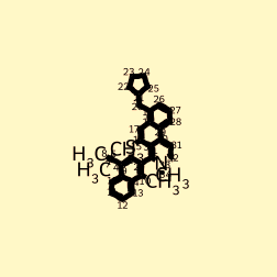 Cc1c2c(c(C(C)(C)C)c3ccccc13)Sc1cc3c(CC4CCCC4)cccc3c3cc[n+](C)c-2c13